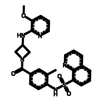 COc1cccnc1NC1CN(C(=O)c2ccc(NS(=O)(=O)c3cccc4cccnc34)c(C)c2)C1